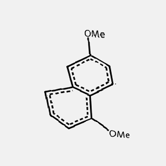 COc1c[c]c2c(OC)cccc2c1